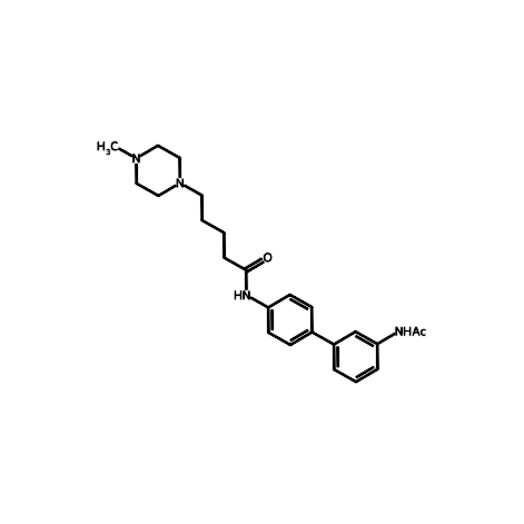 CC(=O)Nc1cccc(-c2ccc(NC(=O)CCCCN3CCN(C)CC3)cc2)c1